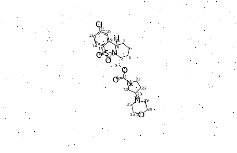 O=C(OC[C@H]1CCC[C@H]2c3cc(Cl)ccc3S(=O)(=O)N12)N1CCC(N2CCOCC2)C1